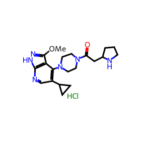 COc1n[nH]c2ncc(C3CC3)c(N3CCN(C(=O)CC4CCCN4)CC3)c12.Cl